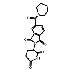 O=C1CCC(N2C(=O)c3ccc(C(=O)N4CCCCC4)cc3C2=O)C(=O)N1